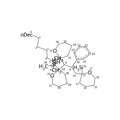 CCCCCCCCCCCCCC[SiH](C)C1(C(C(CC2([SiH3])CCCCO2)c2ccccc2)C2([SiH](C)C)CCCCO2)CCCCO1